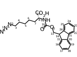 [N-]=[N+]=NCCCCC[C@@H](NC(=O)OCC1c2ccccc2-c2ccccc21)C(=O)O